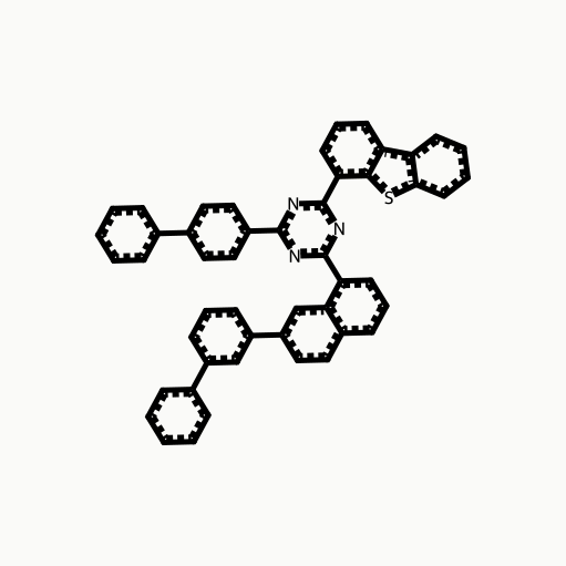 c1ccc(-c2ccc(-c3nc(-c4cccc5ccc(-c6cccc(-c7ccccc7)c6)cc45)nc(-c4cccc5c4sc4ccccc45)n3)cc2)cc1